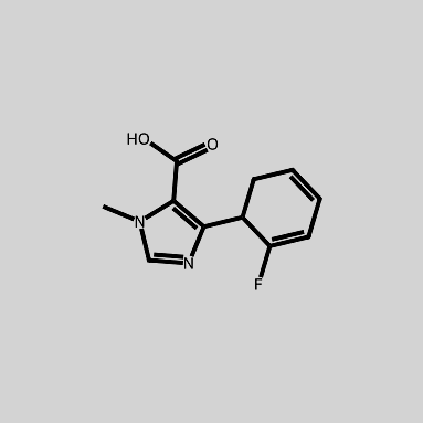 Cn1cnc(C2CC=CC=C2F)c1C(=O)O